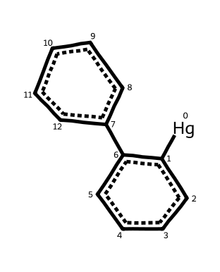 [Hg][c]1ccccc1-c1ccccc1